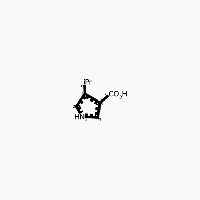 CC(C)c1c[nH]cc1C(=O)O